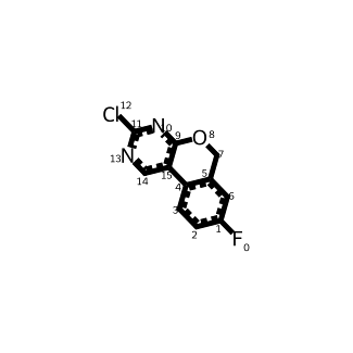 Fc1ccc2c(c1)COc1nc(Cl)ncc1-2